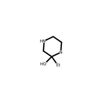 CCC1(O)CNCC[N]1